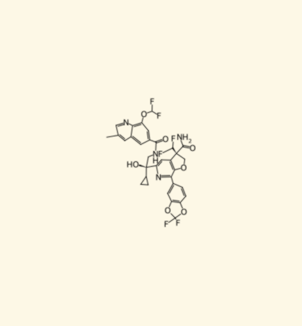 Cc1cnc2c(OC(F)F)cc(C(=O)NC[C@](O)(c3cc4c(c(-c5ccc6c(c5)OC(F)(F)O6)n3)OC[C@]4(C(N)=O)C(F)F)C3CC3)cc2c1